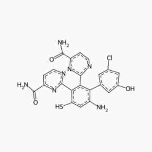 NC(=O)c1ccnc(-c2c(S)cc(N)c(-c3cc(O)cc(Cl)c3)c2-c2nccc(C(N)=O)n2)n1